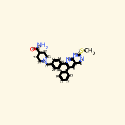 CSc1ncc2cc(-c3ccccc3)c(-c3ccc(CN4CCC(C(N)=O)CC4)cc3)nc2n1